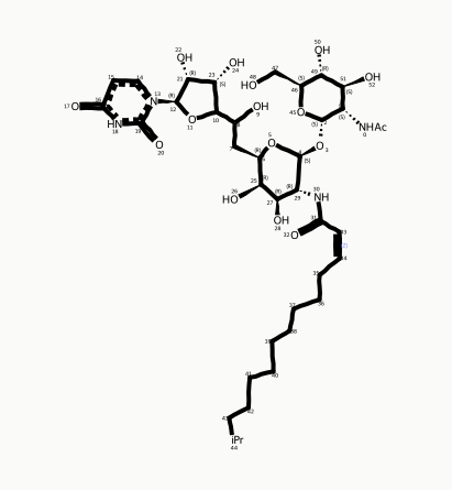 CC(=O)N[C@@H]1[C@H](O[C@@H]2O[C@H](CC(O)C3O[C@@H](n4ccc(=O)[nH]c4=O)[C@H](O)[C@@H]3O)[C@H](O)[C@H](O)[C@H]2NC(=O)/C=C\CCCCCCCCCC(C)C)O[C@@H](CO)[C@H](O)[C@H]1O